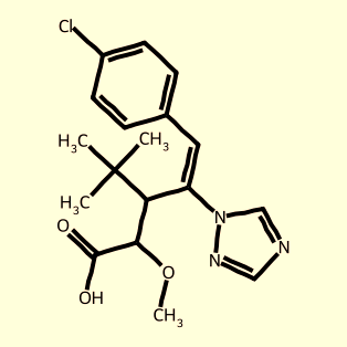 COC(C(=O)O)C(/C(=C\c1ccc(Cl)cc1)n1cncn1)C(C)(C)C